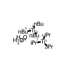 CCC[CH2][Ti]([CH2]CCC)[CH2]CCC.C[CH](C)[Ti]([CH](C)C)[CH](C)C.O.O